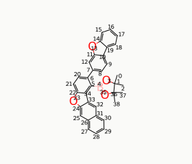 CC1(C)OB(c2c(-c3ccc4c(c3)oc3ccccc34)ccc3oc4cc5ccccc5cc4c23)OC1(C)C